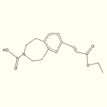 CCOC(=O)C=Cc1ccc2c(c1)CCN(C(=O)O)CC2